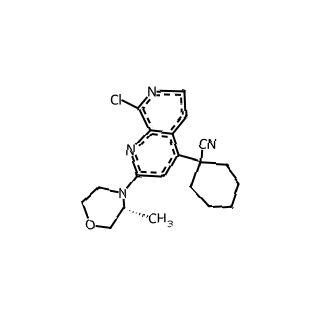 C[C@@H]1COCCN1c1cc(C2(C#N)CCCCC2)c2ccnc(Cl)c2n1